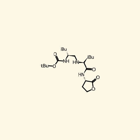 CC[C@H](C)[C@H](NC[C@@H](NC(=O)OC(C)(C)C)[C@@H](C)CC)C(=O)N[C@H]1CCOC1=O